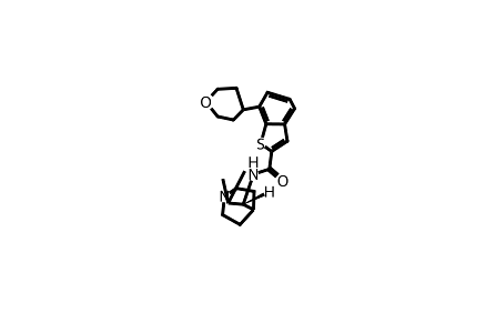 CC1(C)[C@H](NC(=O)c2cc3cccc(C4CCOCC4)c3s2)C2CCN1CC2